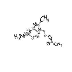 CC(=O)OCCn1c(C)nc2cc(N)ccc21